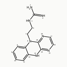 N=C(N)NCCN1c2ccccc2Nc2nccnc21